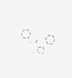 CCN(CC)c1ccc(NC(=O)c2c(-c3c(Cl)cccc3[N+](=O)[O-])noc2C)cc1